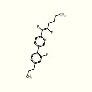 CCCCC(F)=C(F)c1ccc(-c2ccc(CCC)cc2F)cc1